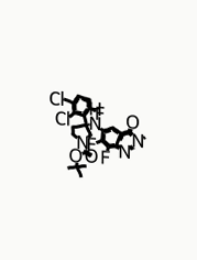 Cn1cnc2c(F)c(F)c(N[C@]3(c4c(F)ccc(Cl)c4Cl)CCN(C(=O)OC(C)(C)C)C3)cc2c1=O